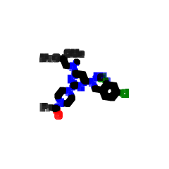 COC(CN(C)c1cc(N(N)Cc2ccc(Cl)cc2Cl)nc(N2CCN(C(=O)C(C)C)CC2)n1)OC